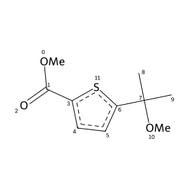 COC(=O)c1ccc(C(C)(C)OC)s1